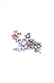 CN1/C(=C/C2=C(NC(CS(=O)(=O)O)C(=O)NCCCCC(=O)ON3C(=O)CCC3=O)C(=C/C3=[N+](C)c4ccccc4C3(C)C)/C2=O)C(C)(C)c2ccccc21